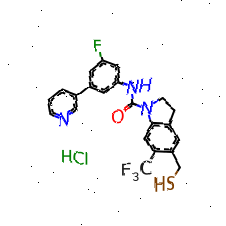 Cl.O=C(Nc1cc(F)cc(-c2cccnc2)c1)N1CCc2cc(CS)c(C(F)(F)F)cc21